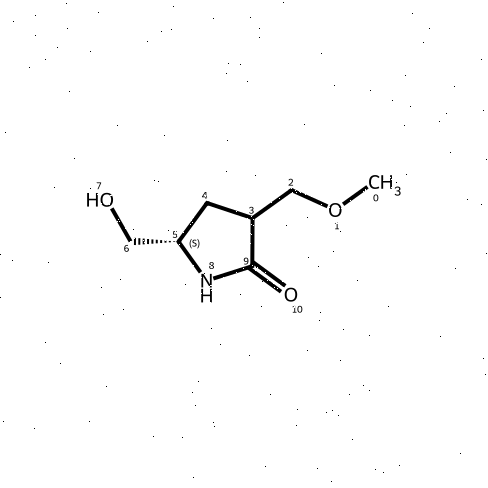 COCC1C[C@@H](CO)NC1=O